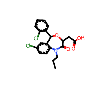 CCCN1C(=O)C(CC(=O)O)OC(c2ccccc2Cl)c2cc(Cl)ccc21